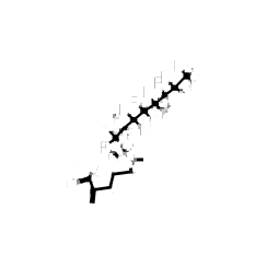 C=C(CCCN(C)S(=O)(=O)C(F)(F)C(F)(F)C(F)(F)C(F)(F)C(F)(F)C(F)(F)C(F)(F)C(F)(F)F)C(=O)O